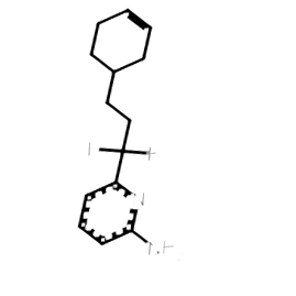 Nc1cccc(C(F)(F)CCC2CC=CCC2)n1